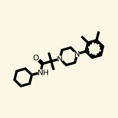 Cc1cccc(N2CCN(C(C)(C)C(=O)NC3CCCCC3)CC2)c1C